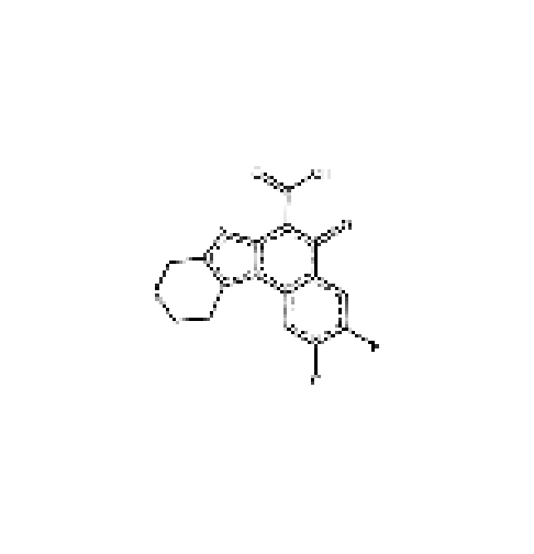 O=C(O)c1c(=O)c2cc(F)c(Cl)cc2n2c3c(sc12)CCCC3